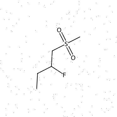 CCC(F)CS(C)(=O)=O